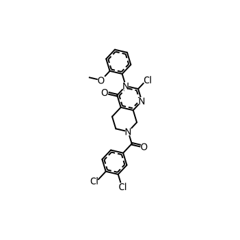 COc1ccccc1-n1c(Cl)nc2c(c1=O)CCN(C(=O)c1ccc(Cl)c(Cl)c1)C2